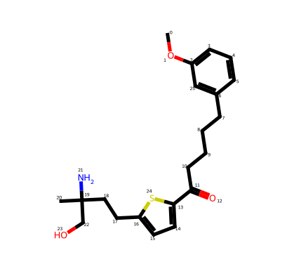 COc1cccc(CCCCC(=O)c2ccc(CCC(C)(N)CO)s2)c1